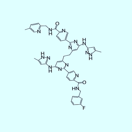 Cc1ccc(CNC(=O)c2ccc(-c3nc(CCc4cc(Nc5cc(C)[nH]n5)nc(-c5ccc(C(=O)NCc6cccc(F)c6)nc5)n4)cc(Nc4cc(C)[nH]n4)n3)cn2)nc1